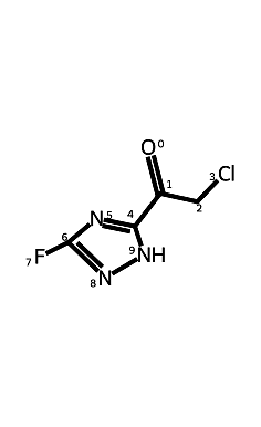 O=C(CCl)c1nc(F)n[nH]1